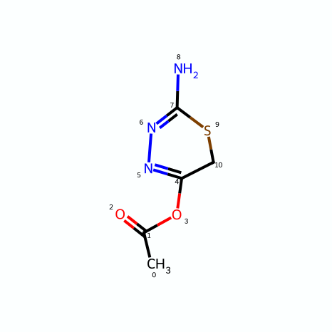 CC(=O)OC1=NN=C(N)SC1